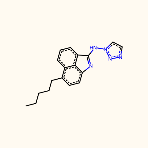 CCCCCc1ccc2c3c(cccc13)C(Nn1ccnn1)=N2